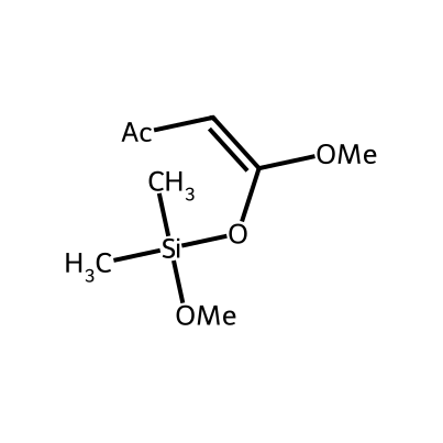 COC(=CC(C)=O)O[Si](C)(C)OC